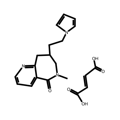 CN1CC(CCn2cccc2)Cc2ncccc2C1=O.O=C(O)C=CC(=O)O